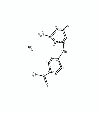 Cc1cc(Nc2ccc(C(N)=O)cc2)nc(N)n1.Cl